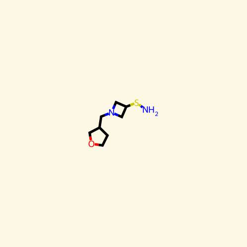 NSC1CN(CC2CCOC2)C1